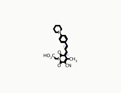 CC1=C(C#N)C(=O)N(CC(=O)O)C(=O)/C1=C\C=C\c1ccc(N2CCCCC2)cc1